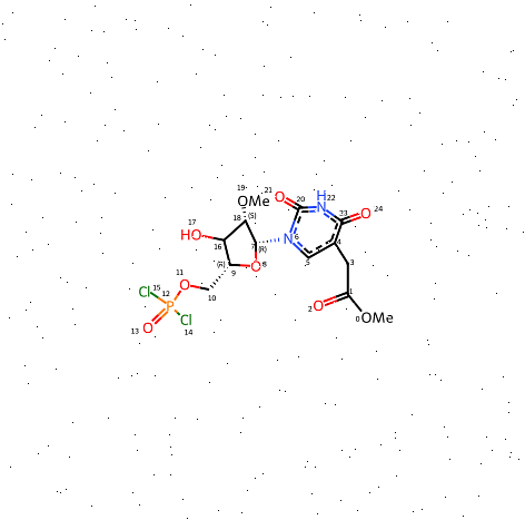 COC(=O)Cc1cn([C@@H]2O[C@H](COP(=O)(Cl)Cl)C(O)[C@@H]2OC)c(=O)[nH]c1=O